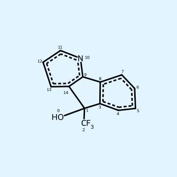 OC1(C(F)(F)F)c2ccccc2-c2ncccc21